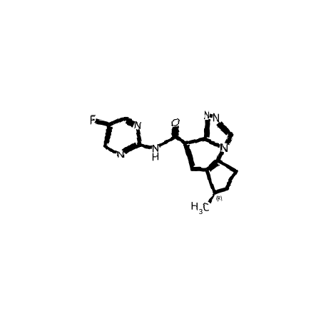 C[C@@H]1CCc2c1cc(C(=O)Nc1ncc(F)cn1)c1nncn21